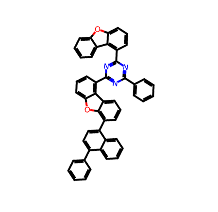 c1ccc(-c2nc(-c3cccc4oc5ccccc5c34)nc(-c3cccc4oc5c(-c6ccc(-c7ccccc7)c7ccccc67)cccc5c34)n2)cc1